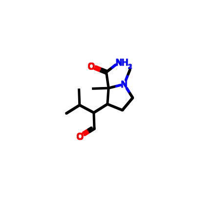 CC(C)C(C=O)C1CCN(C)C1(C)C(N)=O